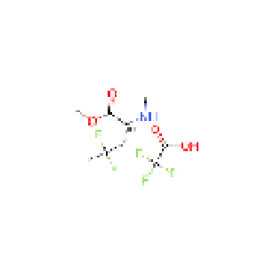 CN[C@H](CC(C)(F)F)C(=O)OC.O=C(O)C(F)(F)F